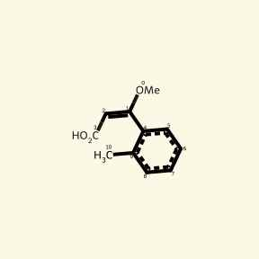 CO/C(=C/C(=O)O)c1ccccc1C